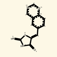 N=C1NC(=O)C(=Cc2ccc3ncncc3c2)S1